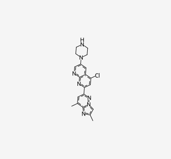 Cc1cn2nc(-c3cc(Cl)c4cc(N5CCNCC5)cnc4n3)cc(C)c2n1